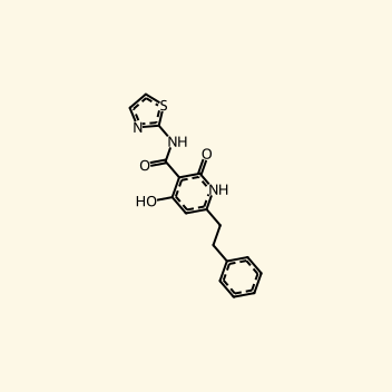 O=C(Nc1nccs1)c1c(O)cc(CCc2ccccc2)[nH]c1=O